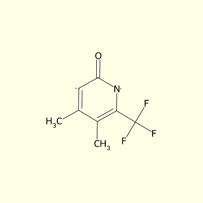 CC1=[C]C(=O)[N]C(C(F)(F)F)=C1C